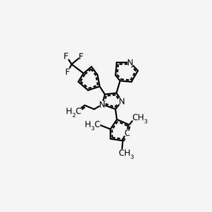 C=CCn1c(-c2c(C)cc(C)cc2C)nc(-c2ccncc2)c1-c1ccc(C(F)(F)F)cc1